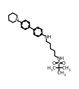 CC(C)(C)S(=O)(=O)NCCCCCNc1ccc(-c2ccc(N3CCCCC3)cc2)cc1